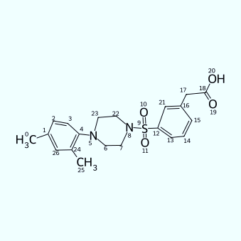 Cc1ccc(N2CCN(S(=O)(=O)c3cccc(CC(=O)O)c3)CC2)c(C)c1